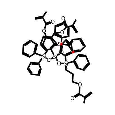 C=C(C)C(=O)OCCC[Si](O[Si](O[Si](CCCOC(=O)C(=C)C)(c1ccccc1)c1ccccc1)(O[Si](CCCOC(=O)C(=C)C)(c1ccccc1)c1ccccc1)c1ccccc1)(c1ccccc1)c1ccccc1